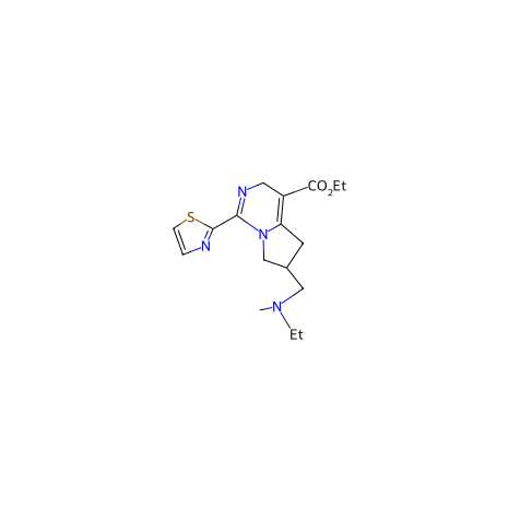 CCOC(=O)C1=C2CC(CN(C)CC)CN2C(c2nccs2)=NC1